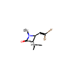 C[SiH](C)[C@@H]1C(=O)N(C(C)(C)C)C1C=C(Br)Br